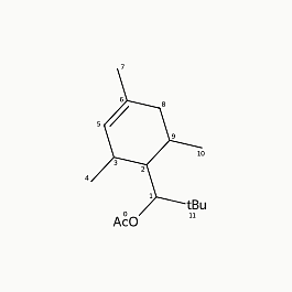 CC(=O)OC(C1C(C)C=C(C)CC1C)C(C)(C)C